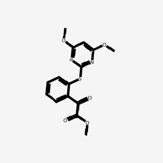 COC(=O)C(=O)c1ccccc1Sc1nc(OC)cc(OC)n1